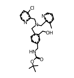 Cc1cccnc1CN(Cc1ccc(CNC(=O)OC(C)(C)C)cc1CO)Cc1ncccc1Cl